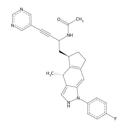 CC(=O)NC(C#Cc1cncnc1)C[C@H]1CCC2=C1[C@@H](C)C1=CNN(c3ccc(F)cc3)C1=C2